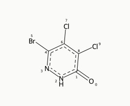 O=c1[nH]nc(Br)c(Cl)c1Cl